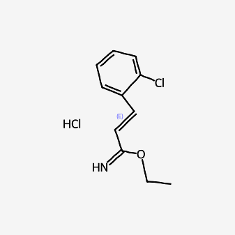 CCOC(=N)/C=C/c1ccccc1Cl.Cl